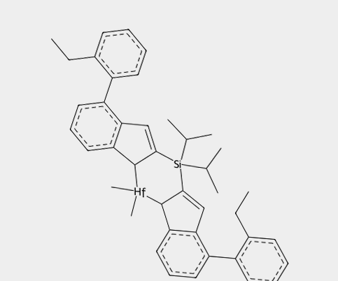 CCc1ccccc1-c1cccc2c1C=C1[CH]2[Hf]([CH3])([CH3])[CH]2C(=Cc3c(-c4ccccc4CC)cccc32)[Si]1(C(C)C)C(C)C